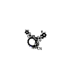 N#CNC(=O)[C@@]12C[C@H]1/C=C\CCCCC[C@H](NC(=O)OC1CCCC1)C(=O)N1C[C@H](OC(=O)N3Cc4cccc(F)c4C3)CC1C(=O)N2